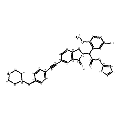 COc1ccc(F)cc1C(C(=O)Nc1nccs1)N1Cc2ccc(C#Cc3ccc(CN4CCNCC4)cc3)cc2C1=O